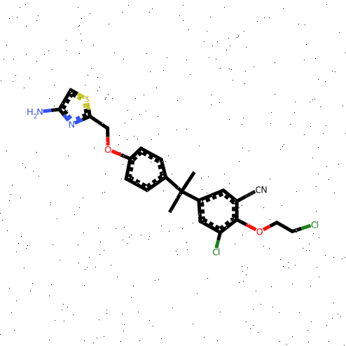 CC(C)(c1ccc(OCc2nc(N)cs2)cc1)c1cc(Cl)c(OCCCl)c(C#N)c1